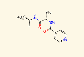 C[C@H](NC(=O)[C@@H](NC(=O)c1ccncc1)C(C)(C)C)C(=O)O